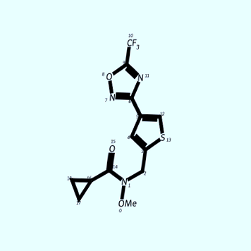 CON(Cc1cc(-c2noc(C(F)(F)F)n2)cs1)C(=O)C1CC1